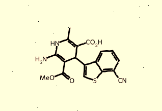 COC(=O)C1=C(N)NC(C)=C(C(=O)O)C1c1csc2c(C#N)cccc12